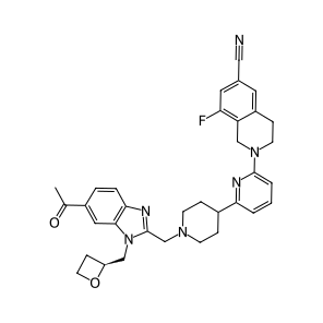 CC(=O)c1ccc2nc(CN3CCC(c4cccc(N5CCc6cc(C#N)cc(F)c6C5)n4)CC3)n(C[C@@H]3CCO3)c2c1